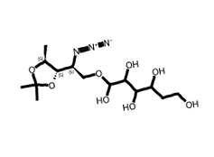 C[C@@H]1OC(C)(C)O[C@H]1[C@H](COC(O)C(O)C(O)C(O)CCO)N=[N+]=[N-]